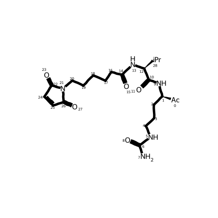 CC(=O)[C@@H](CCCNC(N)=O)NC(=O)[C@@H](NC(=O)CCCCCN1C(=O)C=CC1=O)C(C)C